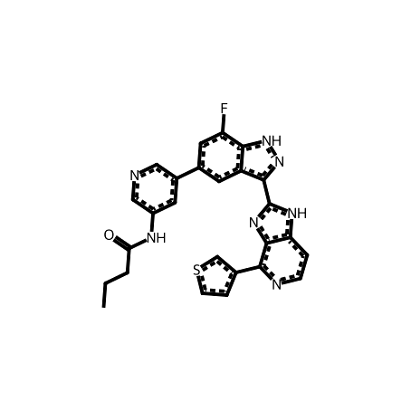 CCCC(=O)Nc1cncc(-c2cc(F)c3[nH]nc(-c4nc5c(-c6ccsc6)nccc5[nH]4)c3c2)c1